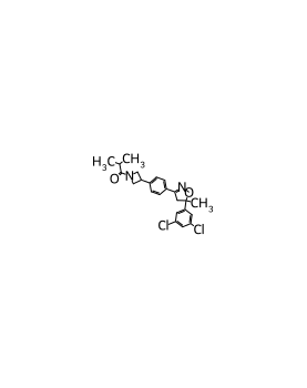 CC(C)C(=O)N1CC(c2ccc(C3=NOC(C)(c4cc(Cl)cc(Cl)c4)C3)cc2)C1